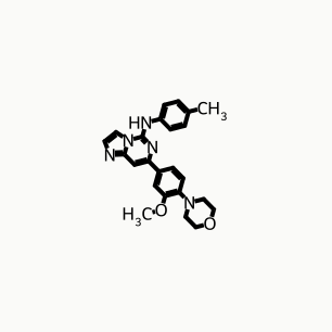 COc1cc(-c2cc3nccn3c(Nc3ccc(C)cc3)n2)ccc1N1CCOCC1